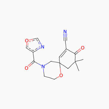 CC1(C)CC2(C=C(C#N)C1=O)CN(C(=O)c1cocn1)CCO2